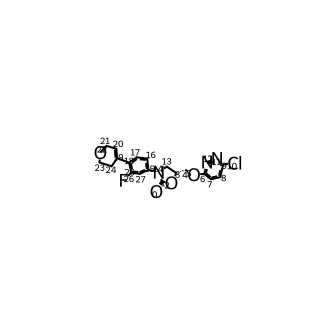 O=C1O[C@@H](COc2ccc(Cl)nn2)CN1c1ccc(C2=CCOCC2)c(F)c1